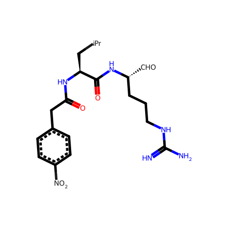 CC(C)C[C@H](NC(=O)Cc1ccc([N+](=O)[O-])cc1)C(=O)N[C@H](C=O)CCCNC(=N)N